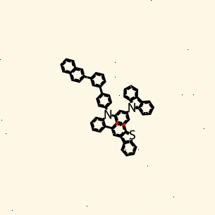 c1cc(-c2ccc(N(c3cccc(-n4c5ccccc5c5ccccc54)c3)c3ccccc3-c3ccc4sc5ccccc5c4c3)cc2)cc(-c2ccc3ccccc3c2)c1